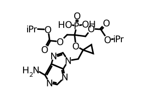 CC(C)OC(=O)OCC(COC(=O)OC(C)C)(OC1(Cn2cnc3c(N)ncnc32)CC1)P(=O)(O)O